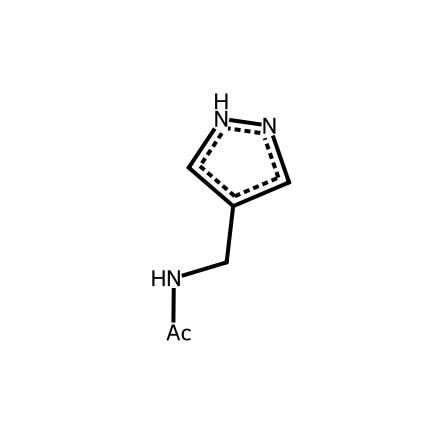 CC(=O)NCc1cn[nH]c1